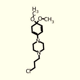 COC1(OC)C=CC(N2CCN(CCCCl)CC2)=CC1